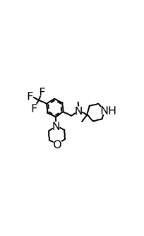 CN(Cc1ccc(C(F)(F)F)cc1N1CCOCC1)C1(C)CCNCC1